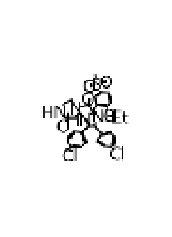 CCOc1ccc(S(C)(=O)=O)cc1C1(C(=O)N2CCNC(=O)C2)NC(c2ccc(Cl)cc2)C(c2ccc(Cl)cc2)N1